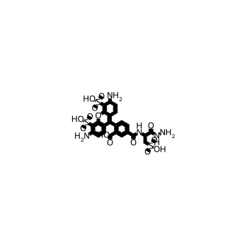 NNC(=O)C(CS(=O)(=O)O)NC(=O)c1ccc(C2=C3C=CC(N)C(S(=O)(=O)O)=C3Oc3c2ccc(N)c3S(=O)(=O)O)c(C(=O)O)c1